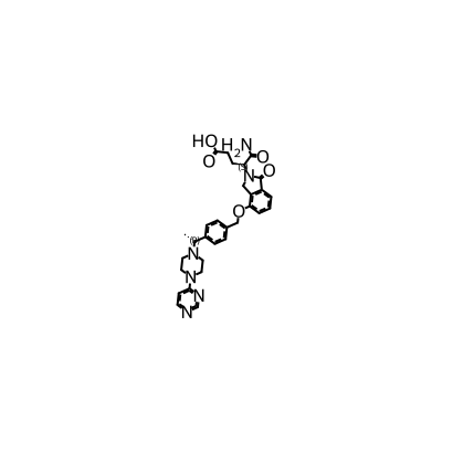 C[C@H](c1ccc(COc2cccc3c2CN([C@@H](CCC(=O)O)C(N)=O)C3=O)cc1)N1CCN(c2ccncn2)CC1